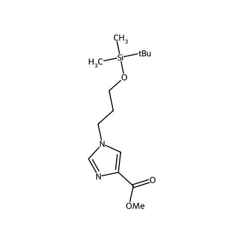 COC(=O)c1cn(CCCO[Si](C)(C)C(C)(C)C)cn1